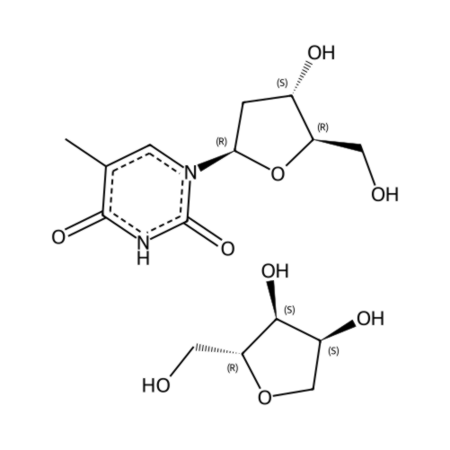 Cc1cn([C@H]2C[C@H](O)[C@@H](CO)O2)c(=O)[nH]c1=O.OC[C@H]1OC[C@H](O)[C@@H]1O